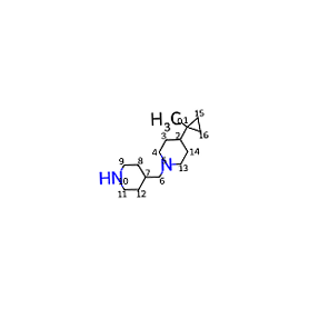 CC1(C2CCN(CC3CCNCC3)CC2)CC1